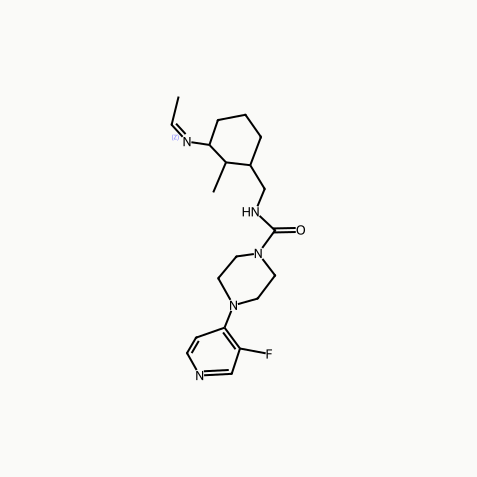 C/C=N\C1CCCC(CNC(=O)N2CCN(c3ccncc3F)CC2)C1C